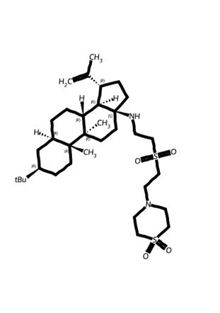 C=C(C)[C@@H]1CC[C@]2(NCCS(=O)(=O)CCN3CCS(=O)(=O)CC3)CC[C@]3(C)[C@H](CC[C@@H]4C[C@H](C(C)(C)C)CC[C@]43C)[C@@H]12